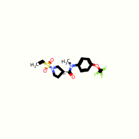 C=CS(=O)(=O)N1CC[C@@H](C(=O)N(C)c2ccc(OC(F)(F)F)cc2)C1